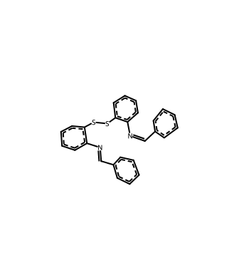 C(=Nc1ccccc1SSc1ccccc1N=Cc1ccccc1)c1ccccc1